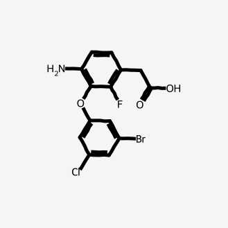 Nc1ccc(CC(=O)O)c(F)c1Oc1cc(Cl)cc(Br)c1